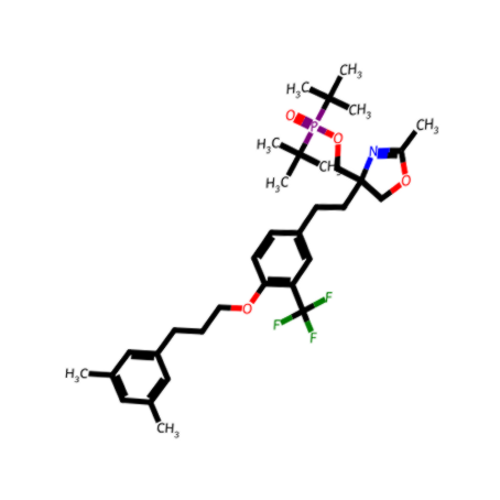 CC1=NC(CCc2ccc(OCCCc3cc(C)cc(C)c3)c(C(F)(F)F)c2)(COP(=O)(C(C)(C)C)C(C)(C)C)CO1